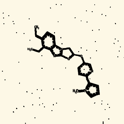 CCc1ccc2c(nc3n2C[C@@H](Oc2ccc(-c4cccn4C)nc2)O3)c1CC